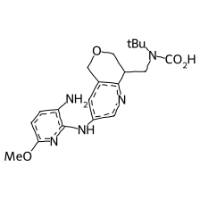 COc1ccc(N)c(Nc2cnc3c(c2)COCC3CN(C(=O)O)C(C)(C)C)n1